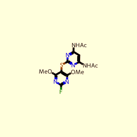 COc1nc(F)nc(OC)c1Sc1nc(NC(C)=O)cc(NC(C)=O)n1